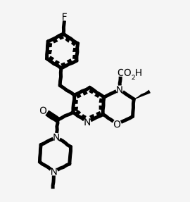 C[C@H]1COc2nc(C(=O)N3CCN(C)CC3)c(Cc3ccc(F)cc3)cc2N1C(=O)O